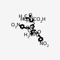 C[C@@H](O)[C@H]1C(=O)N2C(C(=O)O)=C(S[C@H]3C[C@@H](C(CNC(=O)OCc4ccc([N+](=O)[O-])cc4)CC(N)=O)N(C(=O)OCc4ccc([N+](=O)[O-])cc4)C3)C[C@H]12